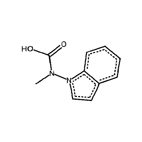 CN(C(=O)O)n1ccc2ccccc21